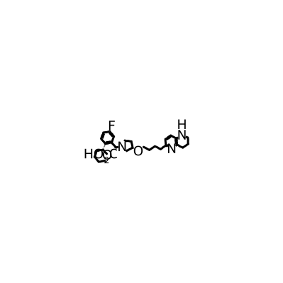 O=C(O)C(c1cc(F)ccc1[C@H]1CCCCO1)N1CC[C@@H](OCCCCc2ccc3c(n2)CCCN3)C1